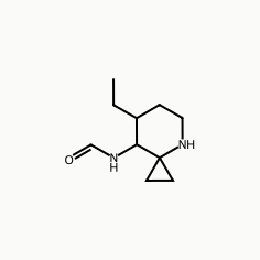 CCC1CCNC2(CC2)C1NC=O